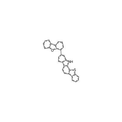 c1ccc2c(c1)oc1c(-c3ccc4c(c3)[nH]c3c4ccc4c5ccccc5sc43)cccc12